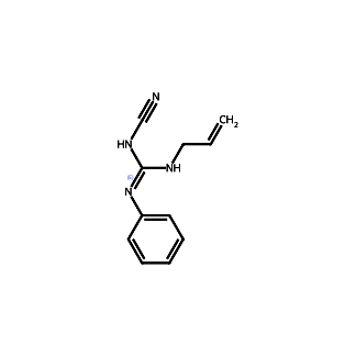 C=CCN/C(=N\c1ccccc1)NC#N